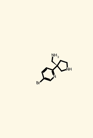 NC[C@@]1(c2ccc(Br)cn2)CCNC1